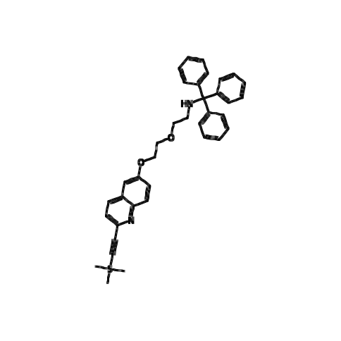 CS(C)(C)C#Cc1ccc2cc(OCCOCCNC(c3ccccc3)(c3ccccc3)c3ccccc3)ccc2n1